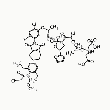 C#CC(C)Oc1cc(N2C(=O)C3=C(CCCC3)C2=O)c(F)cc1Cl.CC1(C)OC(c2ccco2)CN1C(=O)C(Cl)Cl.CCc1cccc(CC)c1N(COC)C(=O)CCl.C[S+](C)C.O=C(O)CNCP(=O)([O-])O